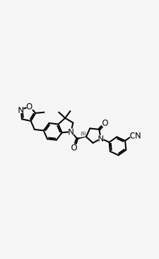 Cc1oncc1Cc1ccc2c(c1)C(C)(C)CN2C(=O)[C@H]1CC(=O)N(c2cccc(C#N)c2)C1